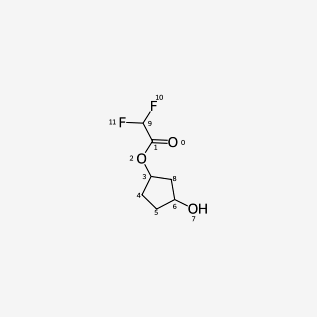 O=C(OC1CCC(O)C1)C(F)F